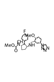 COC(=O)N(C)[C@H]1CC[C@H](NCc2cc(-n3cnnn3)ccc2OC)[C@@H]1c1ccc(F)cc1